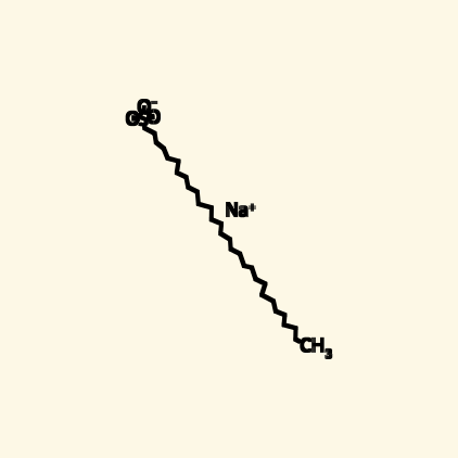 CCCCCCCCCCCCCCCCCCCCCCCCCCCCCCS(=O)(=O)[O-].[Na+]